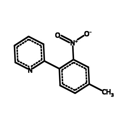 Cc1ccc(-c2ccccn2)c([N+](=O)[O-])c1